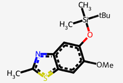 COc1cc2sc(C)nc2cc1O[Si](C)(C)C(C)(C)C